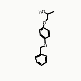 CC(O)COc1ccc(OCc2ccccc2)cc1